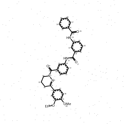 CCOc1cc(C2=NN(C(=O)c3cccc(NC(=O)c4cccc(NC(=O)c5ccccc5)c4)c3)CCC2)ccc1OC